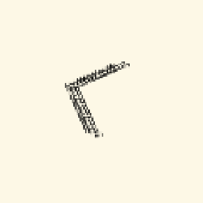 O.O.O.O.O.O.O.O.O.O.O.O.O.O.O.O.O.O.O.O.O.O.O.O.O.[Zn].[Zn]